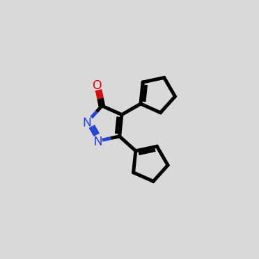 O=C1N=NC(C2=CCCC2)=C1C1=CCCC1